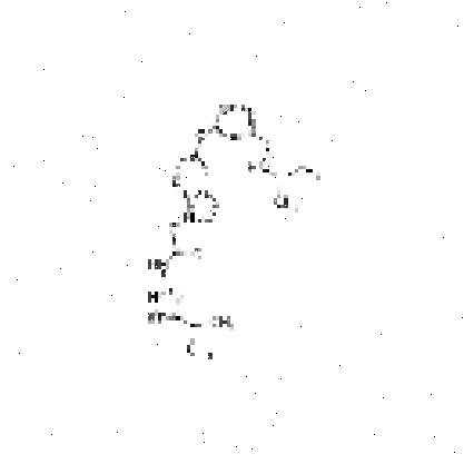 CC(C)NCc1cc(Oc2ccc3c(ccn3OC(=O)Nc3cc(C(C)C)[nH]n3)c2)ncn1